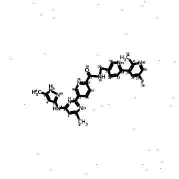 Cc1cc(Nc2cc(C)[nH]n2)nc(-c2ccc(C(=O)NCc3ccc(-c4cc(F)cnc4C)nc3)nc2)n1